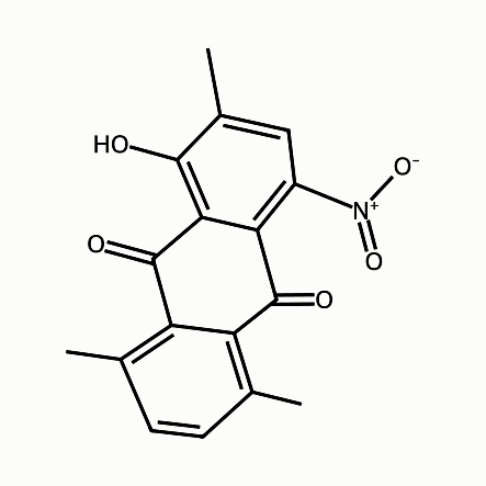 Cc1cc([N+](=O)[O-])c2c(c1O)C(=O)c1c(C)ccc(C)c1C2=O